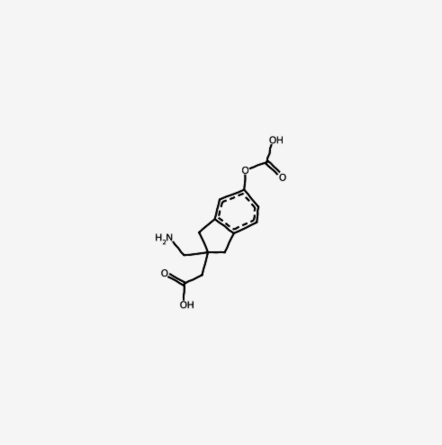 NCC1(CC(=O)O)Cc2ccc(OC(=O)O)cc2C1